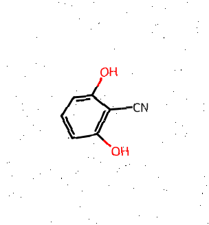 N#Cc1c(O)[c]ccc1O